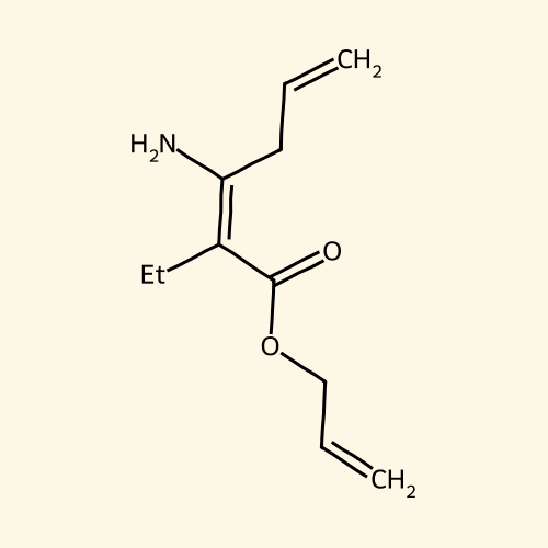 C=CCOC(=O)C(CC)=C(N)CC=C